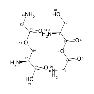 NCC(=O)OC(=O)[C@@H](N)CO.NCC(=O)OC[C@H](N)C(=O)O